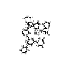 CC1(C)c2ccccc2-c2cc3c4ccccc4n(-c4cccc(-c5nc(-c6ccccc6)cc(C6C=CC=CC6)n5)c4)c3cc21